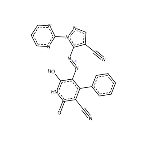 N#Cc1cnn(-c2ncccn2)c1/N=N/c1c(O)[nH]c(=O)c(C#N)c1-c1ccccc1